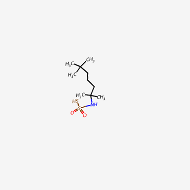 CC(C)(C)CCCC(C)(C)NS(=O)(=O)S